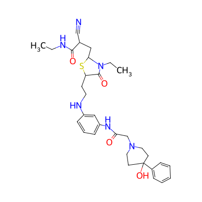 CCNC(=O)C(C#N)CC1SC(CCNc2cccc(NC(=O)CN3CCC(O)(c4ccccc4)CC3)c2)C(=O)N1CC